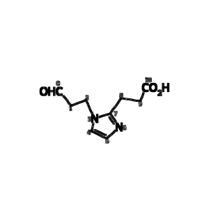 O=CCCn1ccnc1CCC(=O)O